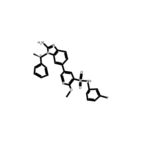 COc1ncc(-c2ccc3nc(N)n([C@H](C)c4ccccc4)c3c2)cc1S(=O)(=O)Nc1cccc(F)c1